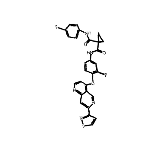 O=C(Nc1ccc(F)cc1)C1(C(=O)Nc2ccc(Oc3ccnc4cc(-c5ccsn5)ncc34)c(F)c2)CC1